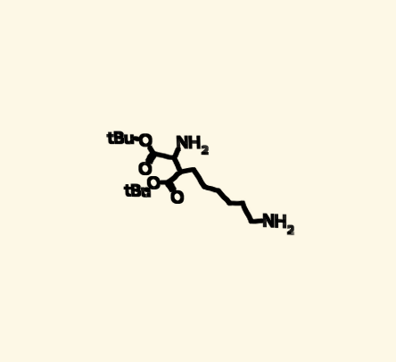 CC(C)(C)OC(=O)C(N)C(CCCCCCN)C(=O)OC(C)(C)C